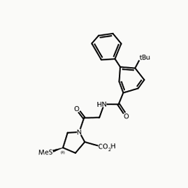 CS[C@@H]1CC(C(=O)O)N(C(=O)CNC(=O)c2ccc(C(C)(C)C)c(-c3ccccc3)c2)C1